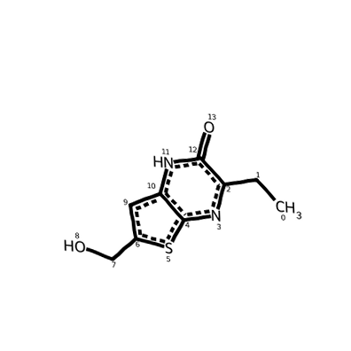 CCc1nc2sc(CO)cc2[nH]c1=O